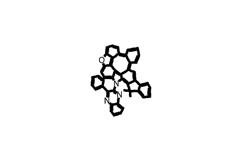 CC1(C)c2ccccc2-c2cc3c4ccccc4c4cccc5oc6ccc7c(c6c54)c3c(c21)n7-c1nc2ccccc2nc1-c1ccccc1